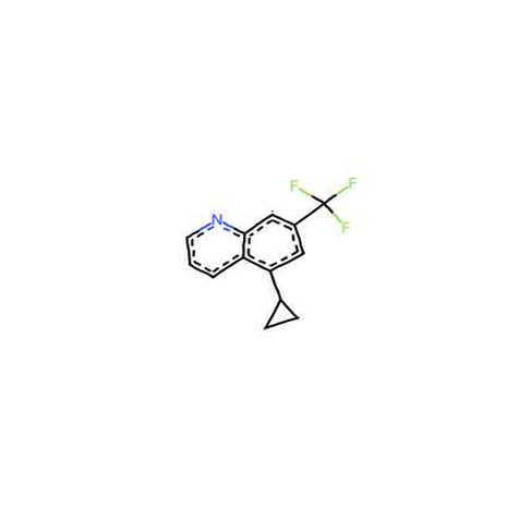 FC(F)(F)c1[c]c2ncccc2c(C2CC2)c1